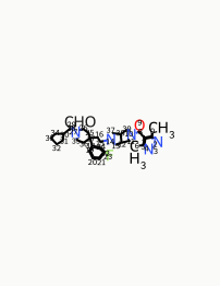 Cc1ncnc(C)c1C(=O)N1CC2CN(CCC3(c4cccc(F)c4)CCN(C(C=O)C4CCCC4)CC3)CC2C1